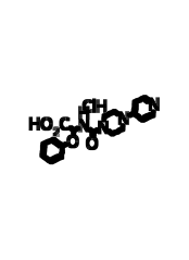 Cl.O=C(O)C(NC(=O)N1CCN(c2ccncc2)CC1)Oc1ccccc1